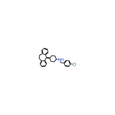 Clc1ccc(CNC2CCC(=C3c4ccccc4CCc4ccccc43)CC2)cc1